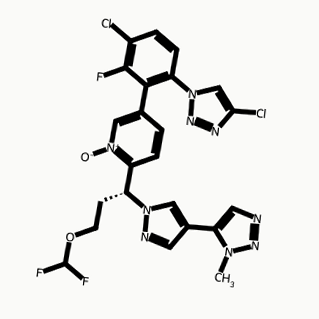 Cn1nncc1-c1cnn([C@H](CCOC(F)F)c2ccc(-c3c(-n4cc(Cl)nn4)ccc(Cl)c3F)c[n+]2[O-])c1